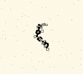 CC(C)(C)n1cnc(-c2ccc(C(=O)N3CCN(c4nc5nc(Cl)ccc5o4)CC3)cc2Cl)n1